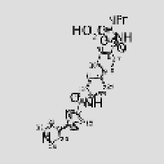 CC(C)C(NS(=O)(=O)c1ccc(-c2ccc(NC(=O)c3csc(-c4ccncc4)n3)cc2)cc1)C(=O)O